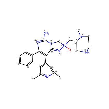 Cc1cc(C2=C(c3ccccc3)N=C(N)N3C[N+]([O-])(C[C@H]4CNCCN4C)N=C23)cc(C)n1